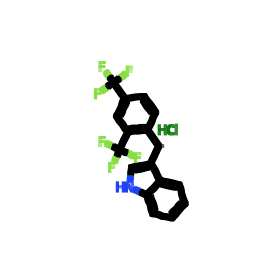 Cl.FC(F)(F)c1ccc([CH]c2c[nH]c3ccccc23)c(C(F)(F)F)c1